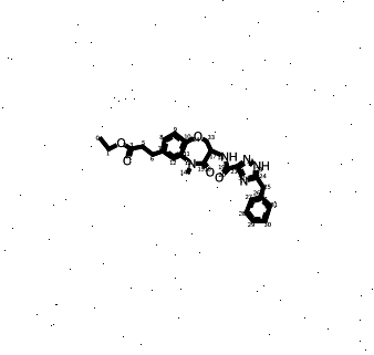 CCOC(=O)CCc1ccc2c(c1)N(C)C(=O)C(NC(=O)c1n[nH]c(Cc3ccccc3)n1)CO2